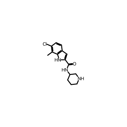 Cc1c(Cl)ccc2cc(C(=O)NC3CCCNC3)[nH]c12